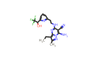 CCc1c(C)nn2c(N)c(C#N)c(NCCc3cccc(C(O)C(F)(F)F)n3)nc12